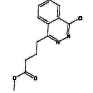 COC(=O)CCCc1nnc(Cl)c2ccccc12